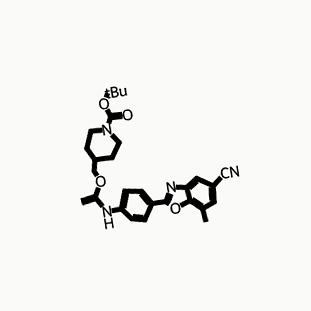 C=C(Nc1ccc(-c2nc3cc(C#N)cc(C)c3o2)cc1)OCC1CCN(C(=O)OC(C)(C)C)CC1